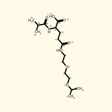 CC(C)OCCOCCNC(=O)CCC(NC(=O)C(C)C)C(=O)O